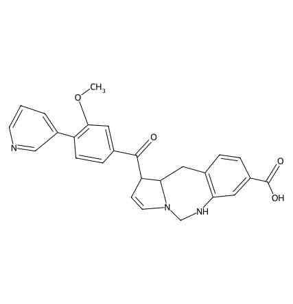 COc1cc(C(=O)C2C=CN3CNc4cc(C(=O)O)ccc4CC23)ccc1-c1cccnc1